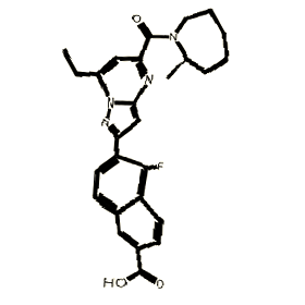 CCc1cc(C(=O)N2CCCCC[C@H]2C)nc2cc(-c3ccc4cc(C(=O)O)ccc4c3F)nn12